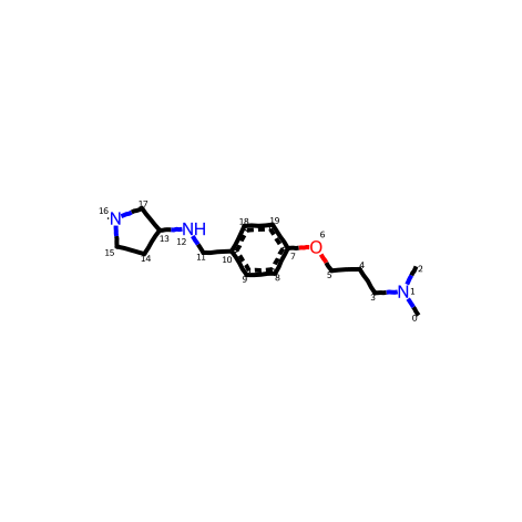 CN(C)CCCOc1ccc(CNC2CC[N]C2)cc1